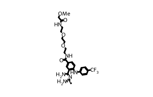 COCC(=O)NCCOCCOCCNC(=O)c1ccc(Nc2ccc(C(F)(F)F)cc2)c(/C(N)=N/N(C)N)c1